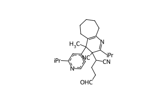 CC(C)C1=NC2=C(CCCCC2)C(C)(c2ccnc(C(C)C)c2)C1(C#N)C(C#N)CCC=O